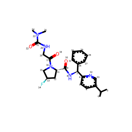 CC(C)c1ccc([C@@H](NC(=O)[C@@H]2C[C@@H](F)CN2C(=O)CNC(=O)N(C)C)c2ccccc2)nc1